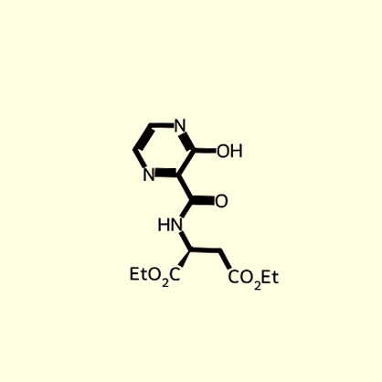 CCOC(=O)C[C@H](NC(=O)c1nccnc1O)C(=O)OCC